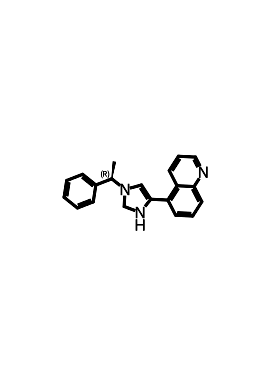 C[C@H](c1ccccc1)N1C=C(c2cccc3ncccc23)NC1